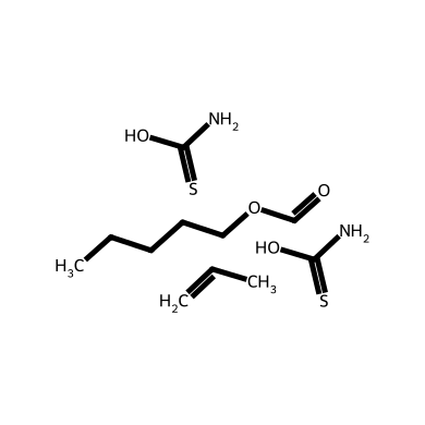 C=CC.CCCCCOC=O.NC(O)=S.NC(O)=S